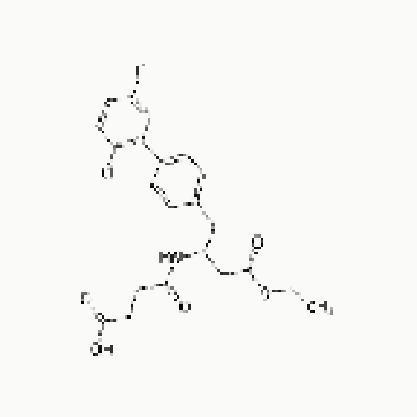 CCOC(=O)CC(Cc1ccc(-c2cc(F)ccc2Cl)cc1)NC(=O)CCC(=O)O